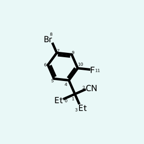 CCC(C#N)(CC)c1ccc(Br)cc1F